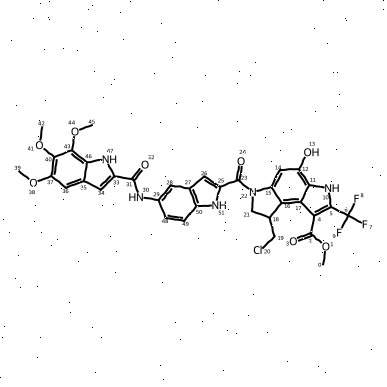 COC(=O)c1c(C(F)(F)F)[nH]c2c(O)cc3c(c12)C(CCl)CN3C(=O)c1cc2cc(NC(=O)c3cc4cc(OC)c(OC)c(OC)c4[nH]3)ccc2[nH]1